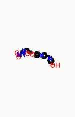 O=[N+]([O-])c1cn2c(n1)OC(COc1ccc(N3CCC(CN4CCC(O)CC4)CC3)cc1)CC2